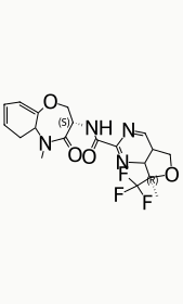 CN1C(=O)[C@@H](NC(=O)C2=NC3C(C=N2)CO[C@@]3(C)C(F)(F)F)COC2=CC=CCC21